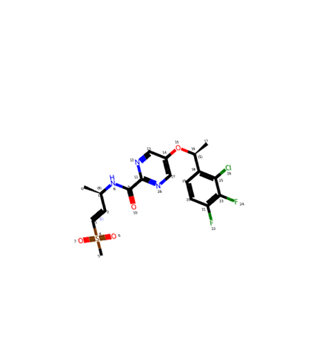 C[C@H](/C=C/S(C)(=O)=O)NC(=O)c1ncc(O[C@@H](C)c2ccc(F)c(F)c2Cl)cn1